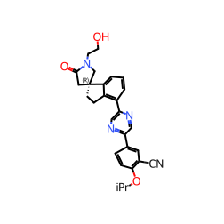 CC(C)Oc1ccc(-c2cnc(-c3cccc4c3CC[C@@]43CC(=O)N(CCO)C3)cn2)cc1C#N